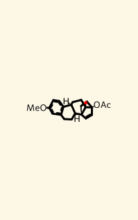 COc1ccc2c(c1)CC[C@@H]1[C@@H]2CC[C@]2(C)[C@@]3(OC(C)=O)C=C[C@]12CC3